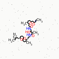 C=C[C@@H](C)CC[C@@H]1CCCC2(CCC(C)[C@@H](CCCNC(=O)[C@@H](C)[C@@H](O)CNC(=O)CC3OC(CC(=O)/C=C/C)CCC3C)O2)O1